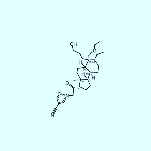 CCOC[C@]1(CCCO)[C@@H](CC)CC[C@H]2[C@@H]3CC[C@H](C(=O)Cn4cc(C#N)cn4)[C@@]3(C)CC[C@@H]21